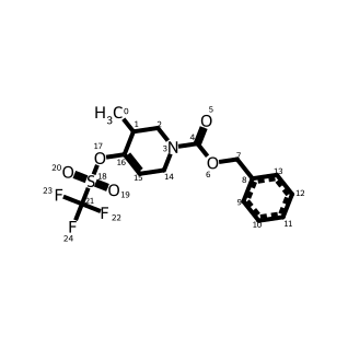 CC1CN(C(=O)OCc2ccccc2)CC=C1OS(=O)(=O)C(F)(F)F